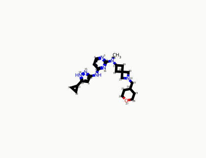 CN(c1nccc(Nc2cc(C3CC3)[nH]n2)n1)C1CC2(C1)CN(CC1CCOCC1)C2